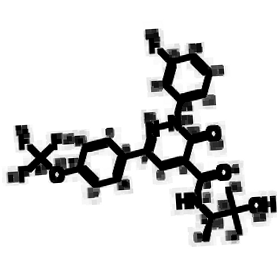 C[C@@H](NC(=O)c1cc(-c2ccc(OC(F)(F)F)cc2)nn(-c2cccc(F)c2)c1=O)C(C)(C)O